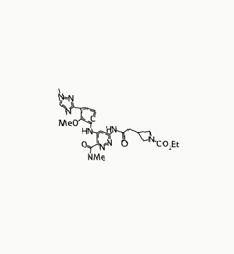 CCOC(=O)N1CC(CC(=O)Nc2cc(Nc3cccc(-c4ncn(C)n4)c3OC)c(C(=O)NC)nn2)C1